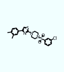 Cc1ccc(-c2csc(N3CCN(S(=O)(=O)c4cccc(Cl)c4)CC3)n2)cc1C